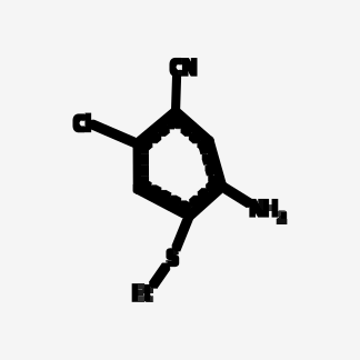 CCSc1cc(Cl)c(C#N)cc1N